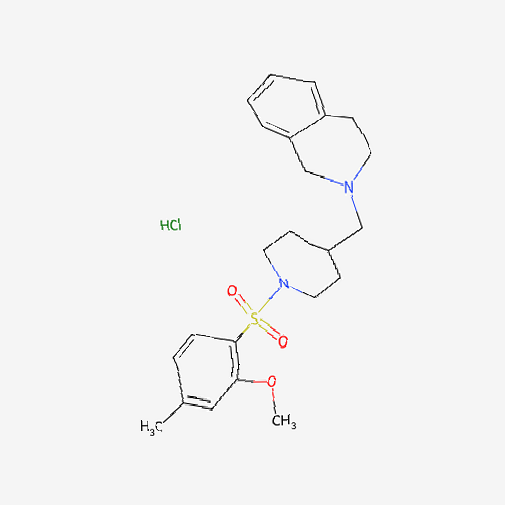 COc1cc(C)ccc1S(=O)(=O)N1CCC(CN2CCc3ccccc3C2)CC1.Cl